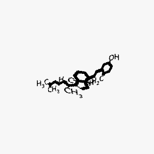 C=C1CC[C@H](O)C/C1=C/C=C1CCC[C@]2(C)[C@@H]([C@H](C)CCCC(C)C)CC[C@@H]12